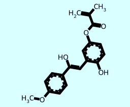 C=C(C)C(=O)Oc1ccc(O)c(/C=C(\O)c2ccc(OC)cc2)c1